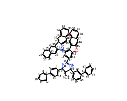 CCC1C(c2ccc(-c3ccccc3)cc2)=NC(c2cc(-n3c4cc5ccccc5cc4c4cc5ccccc5cc43)c3c(c2)oc2cc4ccccc4cc23)=NC1c1cccc(-c2ccccc2)c1